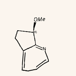 CO[C@@H]1CCc2cccnc21